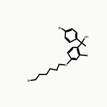 CC(O)(c1ccc(Br)cc1)c1ccc(OCCCCCCBr)cc1F